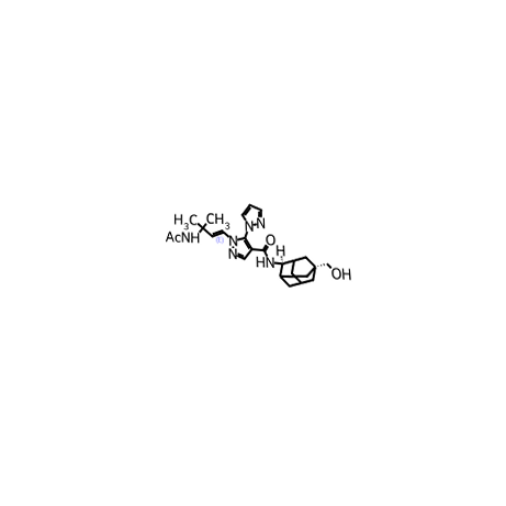 CC(=O)NC(C)(C)/C=C/n1ncc(C(=O)N[C@H]2C3CC4CC2C[C@](CO)(C4)C3)c1-n1cccn1